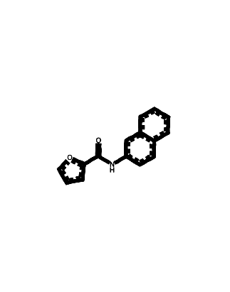 O=C(Nc1ccc2c[c]ccc2c1)c1ccco1